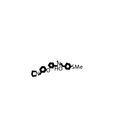 CSc1ccc(C(O)CN(C)Cc2cccc(Oc3cccc(CN4CCCCC4)c3)c2)cc1